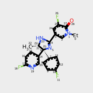 CCn1cc(C2=N[C@@](c3ccc(F)cc3)(c3ccc(F)nc3)[C@H](C)N2)cc(F)c1=O